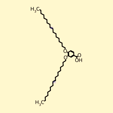 CCCCCCCC/C=C/CCCCCCCCOc1ccc(C(=O)O)cc1OCCCCCCCC/C=C/CCCCCCCC